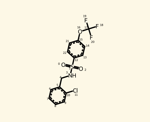 O=S(=O)(NCc1ccccc1Cl)c1ccc(OC(F)(F)F)cc1